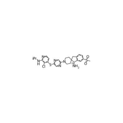 CC(C)Nc1nccc(Sc2cnc(N3CCC4(CC3)Cc3ccc(S(C)(=O)=O)cc3[C@H]4N)cn2)c1Cl